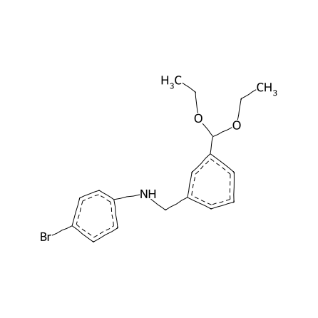 CCOC(OCC)c1cccc(CNc2ccc(Br)cc2)c1